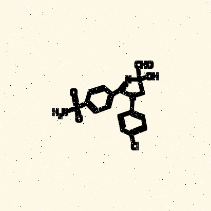 NS(=O)(=O)c1ccc(C2=NC(O)(C=O)CN2c2ccc(Cl)cc2)cc1